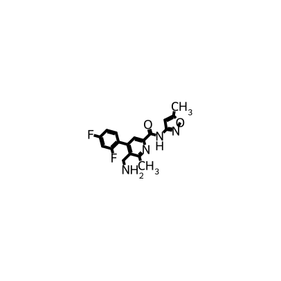 Cc1cc(NC(=O)c2cc(-c3ccc(F)cc3F)c(CN)c(C)n2)no1